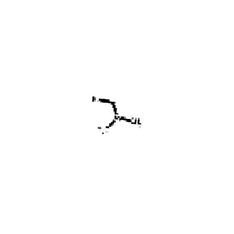 CC[CH][As](C)C